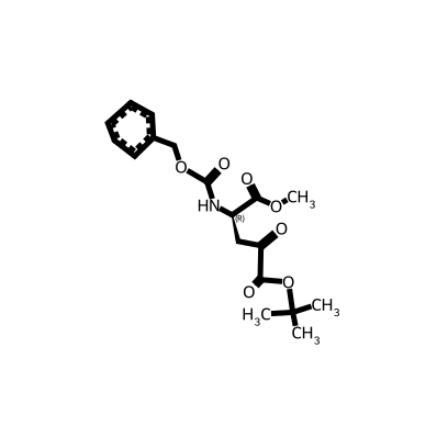 COC(=O)[C@@H](CC(=O)C(=O)OC(C)(C)C)NC(=O)OCc1ccccc1